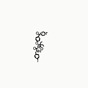 CCC1(CC)C(=O)N(C(=O)NCc2ccc(I)cc2)C1Oc1ccc(C(=O)N2CCN(C)CC2)cc1